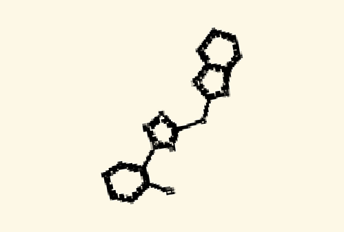 CCc1ccccc1-n1nnc(Sc2nc3ccccc3s2)n1